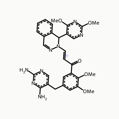 COc1ncc(C2c3ccccc3C=NN2/C=C/C(=O)c2cc(Cc3cnc(N)nc3N)cc(OC)c2OC)c(OC)n1